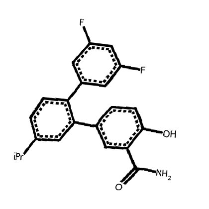 CC(C)c1ccc(-c2cc(F)cc(F)c2)c(-c2ccc(O)c(C(N)=O)c2)c1